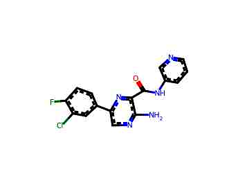 Nc1ncc(-c2ccc(F)c(Cl)c2)nc1C(=O)Nc1cccnc1